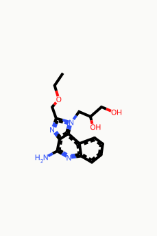 CCOCc1nc2c(N)nc3ccccc3c2n1CC(O)CO